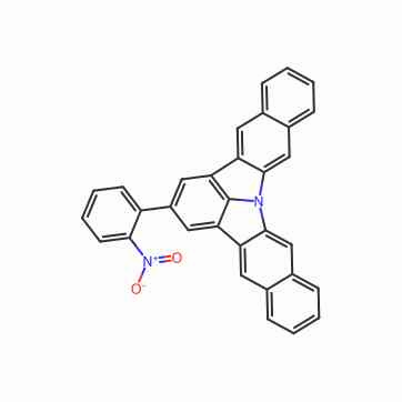 O=[N+]([O-])c1ccccc1-c1cc2c3cc4ccccc4cc3n3c4cc5ccccc5cc4c(c1)c23